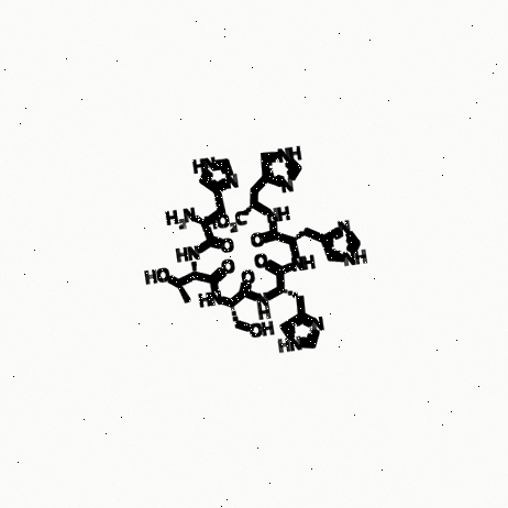 C[C@@H](O)[C@H](NC(=O)[C@@H](N)Cc1c[nH]cn1)C(=O)N[C@@H](CO)C(=O)N[C@@H](Cc1c[nH]cn1)C(=O)N[C@@H](Cc1c[nH]cn1)C(=O)N[C@@H](Cc1c[nH]cn1)C(=O)O